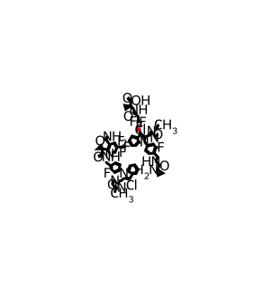 Cc1nc(-c2c(Cl)c3ccccc3n2-c2ccc(CNC(=O)C3(N)CC3)c(F)c2)no1.Cc1nc(-c2c(Cl)c3ccccc3n2-c2ccc(CNC(=O)C3(c4ncc(C(F)(F)F)cc4C(N)=O)CC3)c(F)c2)no1.O=C(CC(F)(F)F)NC1(C(=O)O)CC1